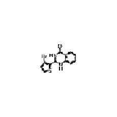 O=C1NC(c2sccc2Br)Nc2ccccc21